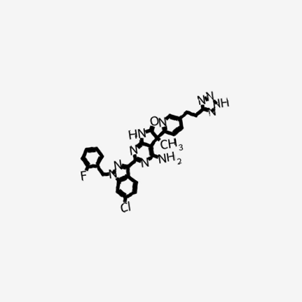 CC1(c2ccc(CCc3nn[nH]n3)cn2)C(=O)Nc2nc(-c3nn(Cc4ccccc4F)c4cc(Cl)ccc34)nc(N)c21